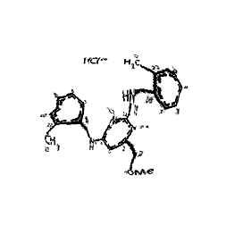 COCc1cc(Nc2ccccc2C)nc(Nc2ccccc2C)n1.Cl